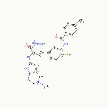 CN1CCn2nc(Nc3cc(-c4ccc(F)c(NC(=O)c5ccc(C(F)(F)F)cc5)c4)n[nH]c3=O)cc2C1